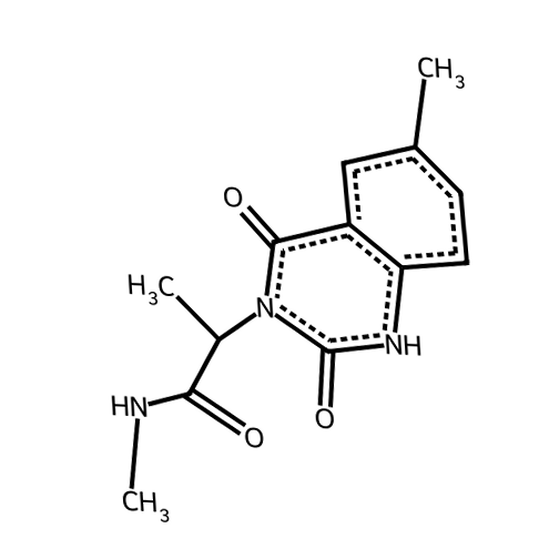 CNC(=O)C(C)n1c(=O)[nH]c2ccc(C)cc2c1=O